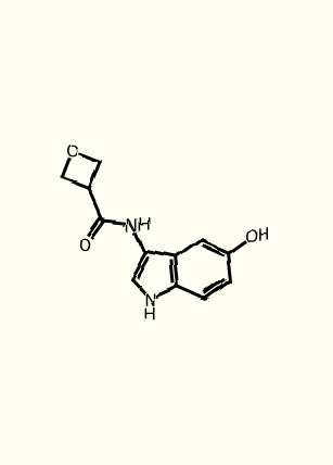 O=C(Nc1c[nH]c2ccc(O)cc12)C1COC1